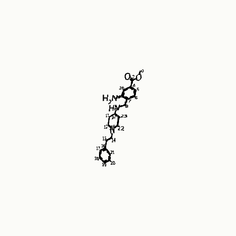 COC(=O)c1ccc(CNC2CCN(CCc3ccccc3)CC2)c(N)c1